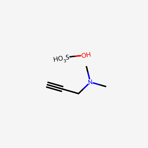 C#CCN(C)C.O=S(=O)(O)O